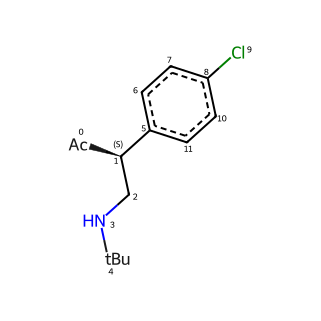 CC(=O)[C@H](CNC(C)(C)C)c1ccc(Cl)cc1